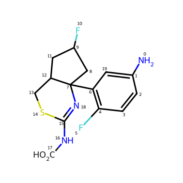 Nc1ccc(F)c(C23CC(F)CC2CSC(NC(=O)O)=N3)c1